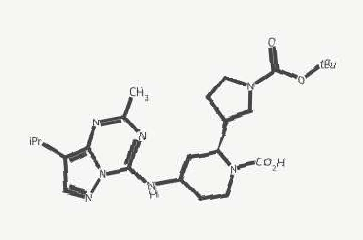 Cc1nc(NC2CCN(C(=O)O)[C@H](C3CCN(C(=O)OC(C)(C)C)C3)C2)n2ncc(C(C)C)c2n1